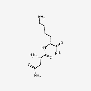 NCCCC[C@@H](NC(=O)[C@@H](N)CC(N)=O)C(N)=O